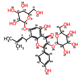 CC(C)=CCc1c(O[C@@H]2OC(CO)[C@@H](O)[C@H](O)C2O)cc(O)c2c(=O)c(O[C@@H]3OC(CO)[C@@H](O)C(O)C3O)c(-c3ccc(O)cc3)oc12